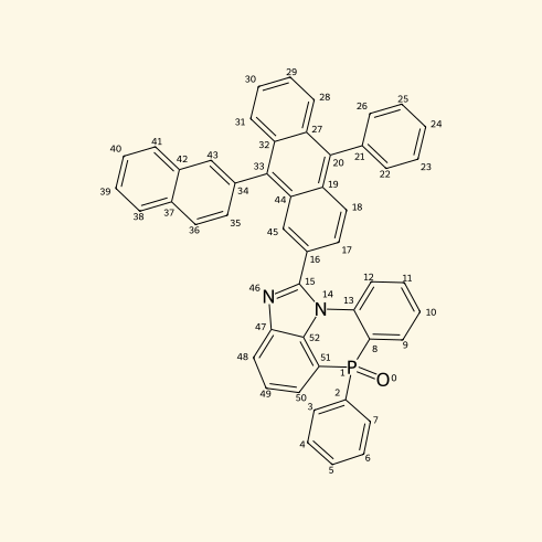 O=P1(c2ccccc2)c2ccccc2-n2c(-c3ccc4c(-c5ccccc5)c5ccccc5c(-c5ccc6ccccc6c5)c4c3)nc3cccc1c32